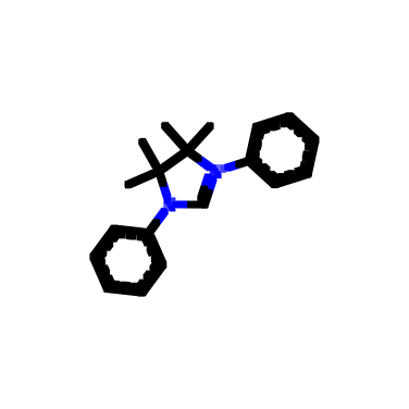 CC1(C)N(c2ccccc2)C=[N+](c2ccccc2)C1(C)C